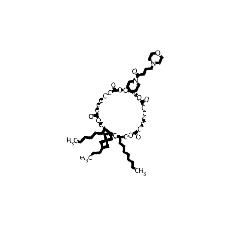 CCCCCCCCC1COC(=O)CCCCCC(=O)OCC2(CCN(C(=O)CCCN3CCOCC3)CC2)COC(=O)CCCCCC(=O)OCC(CCCCCC)C2(C1)CC1(CC(CCC)C1)C2